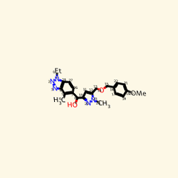 CCn1nnc2c(C)c(C(O)c3cc(COCc4ccc(OC)cc4)n(C)n3)ccc21